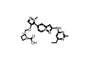 CCc1cc(Nc2cc3cc(-c4c(OC[C@@H]5CCN5C(=O)O)cnn4C)ccn3n2)nc(C)n1